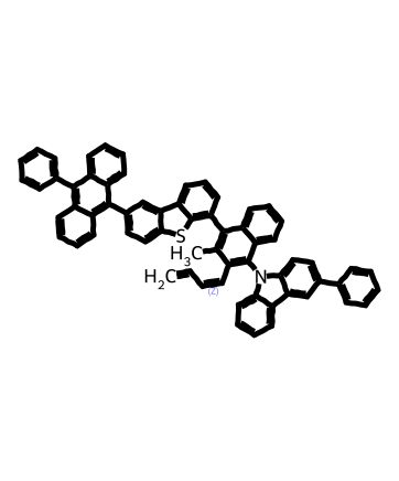 C=C/C=C\c1c(C)c(-c2cccc3c2sc2ccc(-c4c5ccccc5c(-c5ccccc5)c5ccccc45)cc23)c2ccccc2c1-n1c2ccccc2c2cc(-c3ccccc3)ccc21